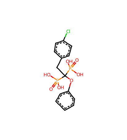 O=P(O)(O)C(Cc1ccc(Cl)cc1)(Oc1ccccc1)P(=O)(O)O